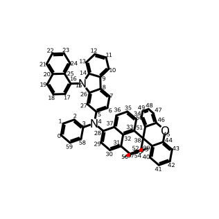 c1ccc(N(c2ccc3c4ccccc4n(-c4cccc5ccccc45)c3c2)c2ccc3c4c(cccc24)C2(c4ccccc4Oc4ccccc42)c2ccccc2-3)cc1